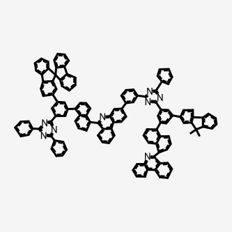 CC1(C)c2ccccc2-c2ccc(-c3cc(-c4nc(-c5ccccc5)nc(-c5cccc(-c6ccc7c(c6)nc(-c6cccc8c(-c9cc(-c%10ccc%11c(c%10)C%10(c%12ccccc%12-c%12ccccc%12%10)c%10ccccc%10-%11)cc(-c%10nc(-c%11ccccc%11)nc(-c%11ccccc%11)n%10)c9)cccc68)c6ccccc67)c5)n4)cc(-c4cccc5c(-c6nc7ccccc7c7ccccc67)cccc45)c3)cc21